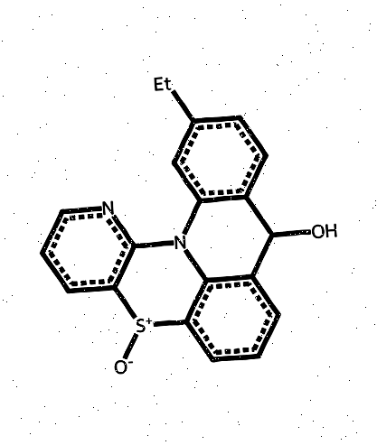 CCc1ccc2c(c1)N1c3ncccc3[S+]([O-])c3cccc(c31)C2O